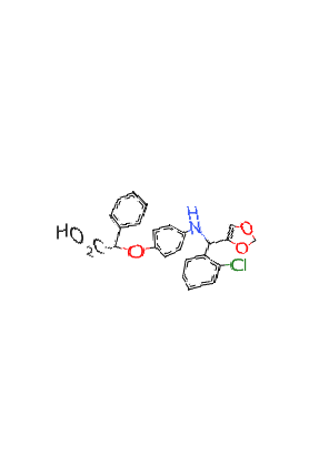 O=C(O)C(Oc1ccc(NC(C2=COCO2)c2ccccc2Cl)cc1)c1ccccc1